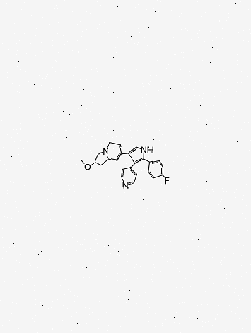 COC1CC2C=C(c3c[nH]c(-c4ccc(F)cc4)c3-c3ccncc3)CCN2C1